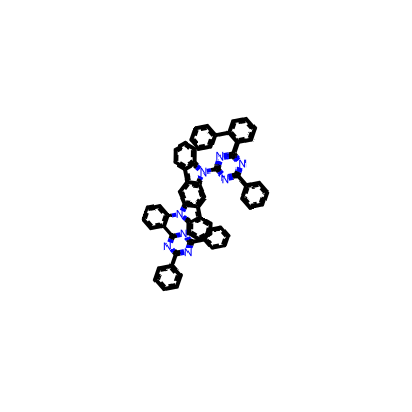 c1ccc(-c2nc(-c3ccccc3)nc(-c3ccccc3-n3c4ccccc4c4cc5c(cc43)c3ccccc3n5-c3nc(-c4ccccc4)nc(-c4ccccc4-c4ccccc4)n3)n2)cc1